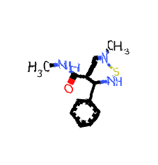 CNC(=O)C1=CN(C)SNC1c1ccccc1